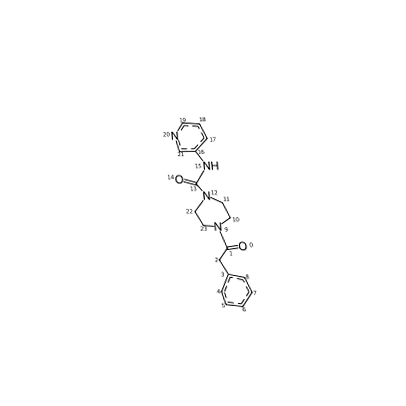 O=C(Cc1ccccc1)N1CCN(C(=O)Nc2cccnc2)CC1